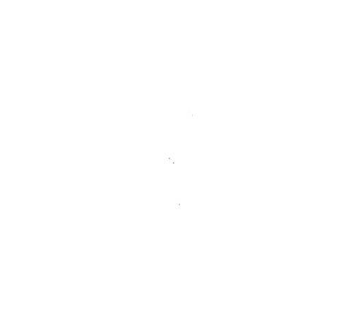 O=[C][N+]1[CH]CC1